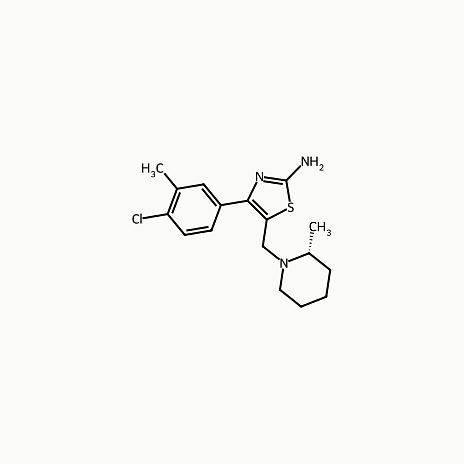 Cc1cc(-c2nc(N)sc2CN2CCCC[C@H]2C)ccc1Cl